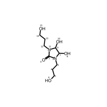 O=C1N(CCCO)C(O)C(O)N1CCCO